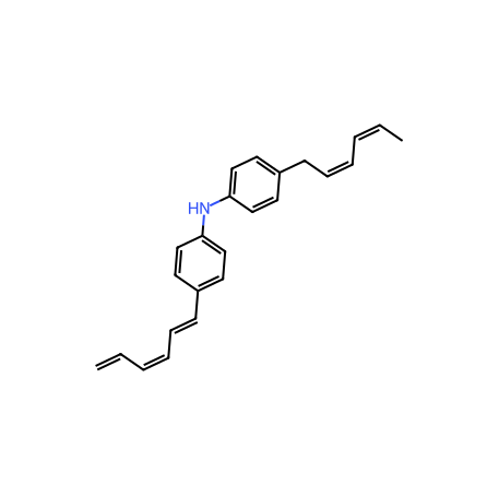 C=C/C=C\C=C\c1ccc(Nc2ccc(C/C=C\C=C/C)cc2)cc1